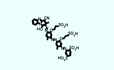 Cc1cc(N=Nc2c(C)c(C#N)c3nc4ccccc4n3c2O)c(OCCCS(=O)(=O)O)cc1N=Nc1cc(C)c(N=Nc2cc(S(=O)(=O)O)ccc2S(=O)(=O)O)cc1OCCCS(=O)(=O)O